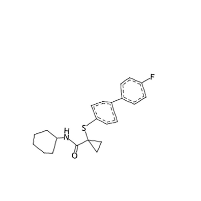 O=C(NC1CCCCC1)C1(Sc2ccc(-c3ccc(F)cc3)cc2)CC1